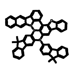 CC1(C)c2ccccc2-c2cc(N3c4cc5c(cc4B4c6c3cc3c(oc7ccccc73)c6-c3cccc6c7cc8ccccc8cc7n4c36)C(C)(C)c3ccccc3-5)ccc21